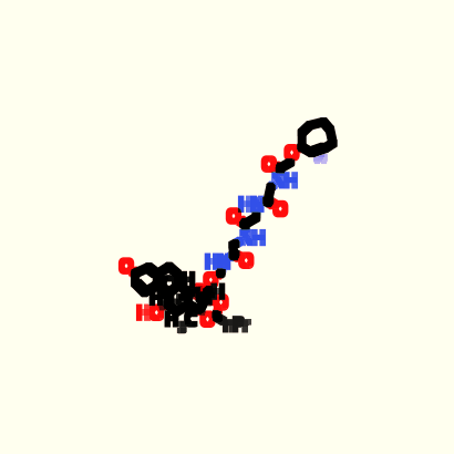 CCCC1O[C@@H]2C[C@H]3[C@@H]4CCC5=CC(=O)C=C[C@]5(C)[C@H]4[C@@H](O)C[C@]3(C)[C@]2(C(=O)COCNC(=O)CNC(=O)CNC(=O)CNC(=O)COC2/C=C\CCCCC2)O1